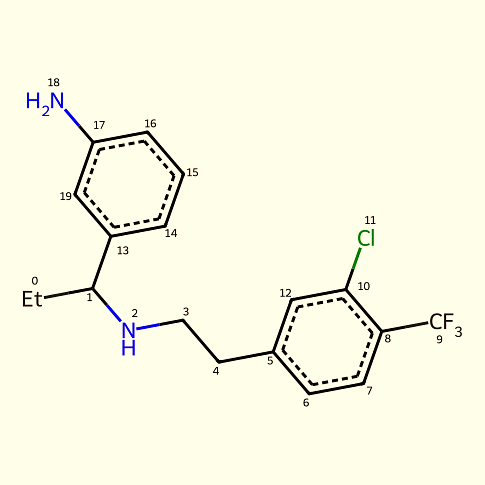 CCC(NCCc1ccc(C(F)(F)F)c(Cl)c1)c1cccc(N)c1